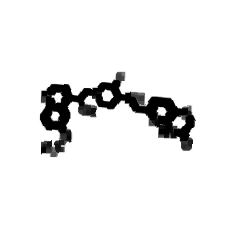 COc1ccc2nccc([C@H](O)CN3CCC(NCc4ccc5c(n4)NC(=O)CS5)C(F)C3)c2c1